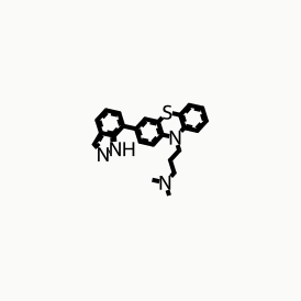 CN(C)CCCN1c2ccccc2Sc2cc(-c3cccc4cn[nH]c34)ccc21